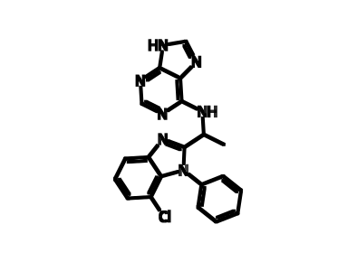 CC(Nc1ncnc2[nH]cnc12)c1nc2cccc(Cl)c2n1-c1ccccc1